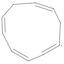 [C]1=CC=CC=CCC=CC1